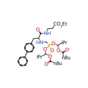 CCCCC(=O)OC(OP(=O)(CNC(Cc1ccc(-c2ccccc2)cc1)C(=O)NCCC(=O)OCC)OC(OC(=O)CCCC)C(C)C)C(C)C